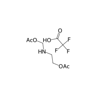 CC(=O)OCCNCOC(C)=O.O=C(O)C(F)(F)F